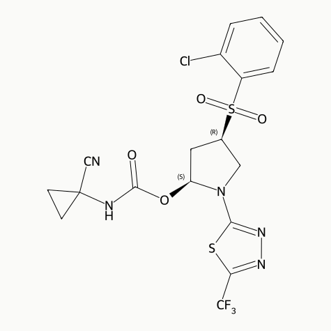 N#CC1(NC(=O)O[C@H]2C[C@@H](S(=O)(=O)c3ccccc3Cl)CN2c2nnc(C(F)(F)F)s2)CC1